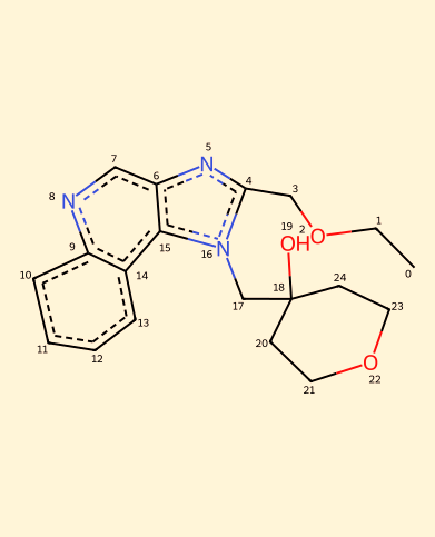 CCOCc1nc2cnc3ccccc3c2n1CC1(O)CCOCC1